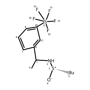 CC(N[S@@+]([O-])C(C)(C)C)c1cccc(S(F)(F)(F)(F)F)c1